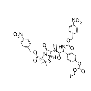 CC1(C)S[C@@H]2C(NC(=O)C(NC(=O)OCc3ccc([N+](=O)[O-])cc3)c3ccc(OC(=O)OCI)cc3)C(=O)N2[C@H]1C(=O)OCc1ccc([N+](=O)[O-])cc1